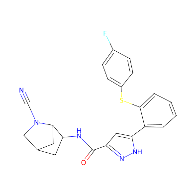 N#CN1CC2CC(NC(=O)c3cc(-c4ccccc4Sc4ccc(F)cc4)[nH]n3)C1C2